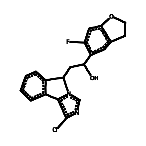 OC(CC1c2ccccc2-c2c(Cl)ncn21)c1cc2c(cc1F)OCC2